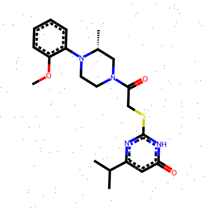 COc1ccccc1N1CCN(C(=O)CSc2nc(C(C)C)cc(=O)[nH]2)C[C@H]1C